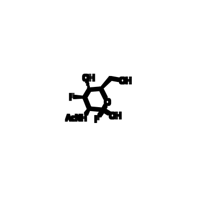 CC(=O)N[C@H]1[C@@H](F)[C@H](O)[C@@H](CO)OC1(O)F